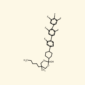 CCCCCC1(C)COC(O)(C2CCC(c3ccc(-c4cc(F)c(-c5cc(F)c(F)c(F)c5)c(F)c4)c(F)c3)CC2)OC1